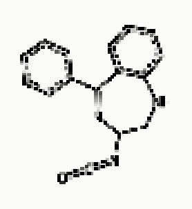 O=C=NC1CNc2ccccc2C(c2ccccc2)=N1